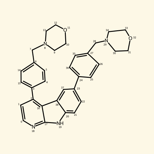 c1cc(-c2ccc(CN3CCOCC3)cc2)c2c(n1)[nH]c1ccc(-c3ccc(CN4CCOCC4)cc3)cc12